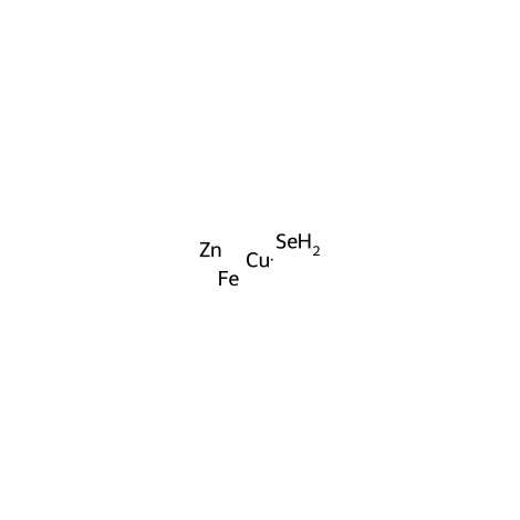 [Cu].[Fe].[SeH2].[Zn]